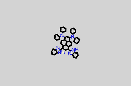 c1ccc(N(c2ccccc2)c2cc(N(c3ccccc3)c3ccccc3)c3ccc4c(-c5nc6ccccc6[nH]5)cc(-c5nc6ccccc6[nH]5)c5ccc2c3c54)cc1